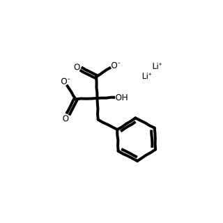 O=C([O-])C(O)(Cc1ccccc1)C(=O)[O-].[Li+].[Li+]